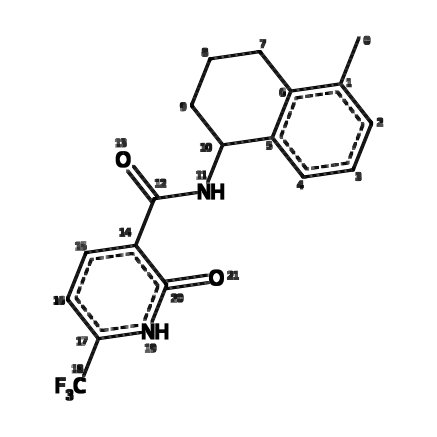 Cc1cccc2c1CCCC2NC(=O)c1ccc(C(F)(F)F)[nH]c1=O